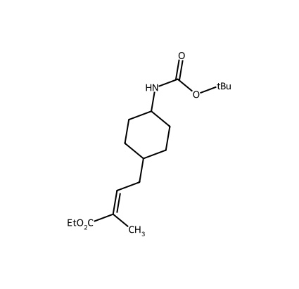 CCOC(=O)C(C)=CCC1CCC(NC(=O)OC(C)(C)C)CC1